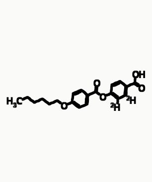 [2H]c1c(OC(=O)c2ccc(OCCCCCC)cc2)ccc(C(=O)O)c1[2H]